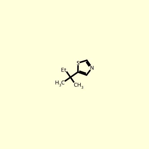 CCC(C)(C)c1cncs1